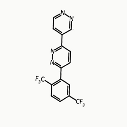 FC(F)(F)c1ccc(C(F)(F)F)c(-c2ccc(-c3[c]nncc3)nn2)c1